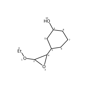 CCOC1OC1C1CCCC(O)C1